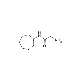 NCC(=O)NC1CCCCCC1